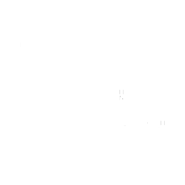 O=C(O)c1c[nH]c2cc(OCCCCCC(F)(F)F)ccc2c1=O